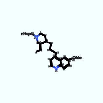 CC=C1CN(CCCCCCC)CC[C@H]1CCCc1ccnc2ccc(OC)cc12